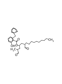 CCCCCCCCCCC(C=O)CC(CC(C)C=O)OC(=O)c1c(O)cccc1Cc1ccccc1